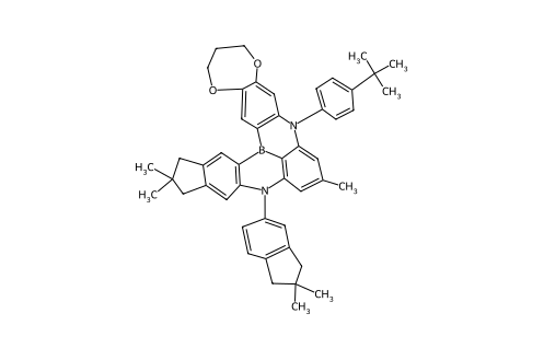 Cc1cc2c3c(c1)N(c1ccc(C(C)(C)C)cc1)c1cc4c(cc1B3c1cc3c(cc1N2c1ccc2c(c1)CC(C)(C)C2)CC(C)(C)C3)OCCCO4